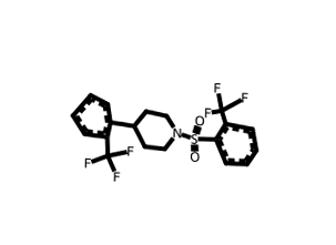 O=S(=O)(c1ccccc1C(F)(F)F)N1CCC(c2ccccc2C(F)(F)F)CC1